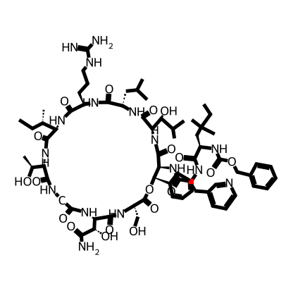 CC[C@H](C)[C@@H]1NC(=O)[C@@H](CCCNC(=N)N)NC(=O)[C@H](CC(C)C)NC(=O)[C@H]([C@H](O)C(C)C)NC(=O)[C@@H](NC(=O)[C@H](Cc2cccnc2)NC(=O)[C@@H](CC(C)(C)CC)NC(=O)OCc2ccccc2)[C@@H](c2ccccc2)OC(=O)[C@H](CO)NC(=O)[C@H]([C@H](O)C(N)=O)NC(=O)CNC(=O)[C@H]([C@H](C)O)NC1=O